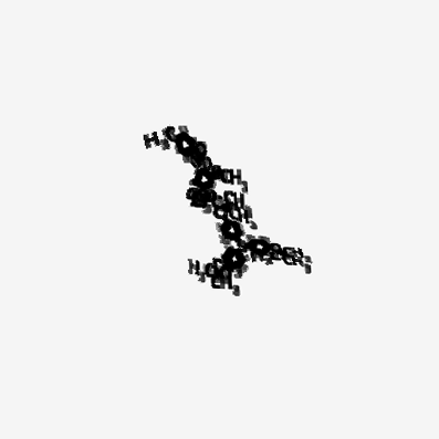 CC(C)(C)Oc1ccc([S+](c2ccc(OC(C)(C)C)cc2)c2ccc(OC(C)(C)C)cc2)cc1.COc1cc(S(=O)(=O)[O-])ccc1OS(=O)(=O)c1ccc(C)cc1